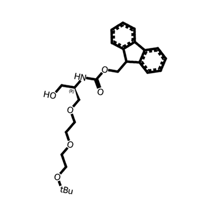 CC(C)(C)OCCOCCOC[C@@H](CO)NC(=O)OCC1c2ccccc2-c2ccccc21